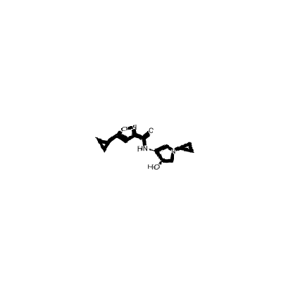 O=C(N[C@@H]1CN(C2CC2)C[C@H]1O)c1cc(C2CC2)on1